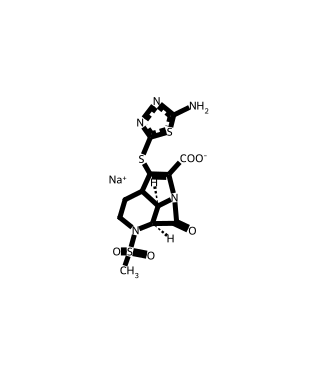 CS(=O)(=O)N1CCC2C(Sc3nnc(N)s3)=C(C(=O)[O-])N3C(=O)[C@@H]1[C@@H]23.[Na+]